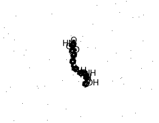 O=C1CCC(n2ccc3cc(N4CCC(CN5CCC(N6CCN7c8cc(-c9ccccc9O)nnc8NC[C@H]7C6)CC5)CC4)ccc3c2=O)C(=O)N1